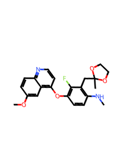 CNc1ccc(Oc2ccnc3ccc(OC)cc23)c(F)c1CC1(C)OCCO1